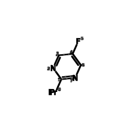 CC(C)c1n[c]c(F)cn1